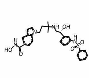 CC(C)(CCn1ccc2cc(C(=O)NO)ccc21)NC[C@H](O)c1cccc(NS(=O)(=O)c2ccccc2)c1